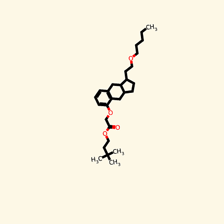 CCCCCOCCC1CCC2Cc3c(cccc3OCC(=O)OCCC(C)(C)C)CC12